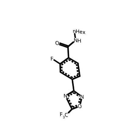 CCCCCCNC(=O)c1ccc(-c2noc(C(F)(F)F)n2)cc1F